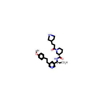 CCCOc1ccc(CCc2cncc([C@H](CC(=O)O)NC(=O)[C@@H]3CCCN(C(=O)CCC4CCNCC4)C3)c2)cc1